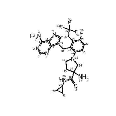 Nc1ncnc2c1ncn2Cc1c(N2CCC(N)(C(=O)NC3CC3)C2)ccc(F)c1CC(F)(F)F